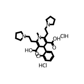 CN1C(CCN2CCCC2)=C(C(=O)O)C(c2ccccc2Cl)C(C(=O)O)=C1CCN1CCCC1.Cl.Cl